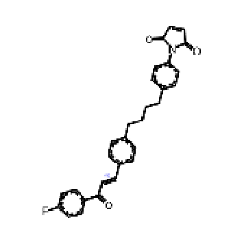 O=C(/C=C/c1ccc(CCCCc2ccc(N3C(=O)C=CC3=O)cc2)cc1)c1ccc(F)cc1